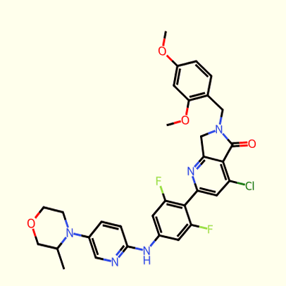 COc1ccc(CN2Cc3nc(-c4c(F)cc(Nc5ccc(N6CCOCC6C)cn5)cc4F)cc(Cl)c3C2=O)c(OC)c1